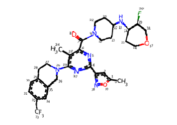 Cc1cc(-c2nc(C(=O)N3CCC(N[C@@H]4CCOC[C@@H]4F)CC3)c(C)c(N3CCc4ccc(C(F)(F)F)cc4C3)n2)no1